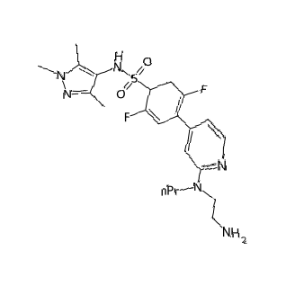 CCCN(CCN)c1cc(C2=C(F)CC(S(=O)(=O)Nc3c(C)nn(C)c3C)C(F)=C2)ccn1